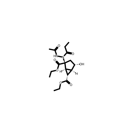 CCOC(=O)[C@H]1[C@H]2[C@@H]1[C@@](C(=O)OCC)(N(NC(C)=O)C(=O)CC)C[C@@H]2O